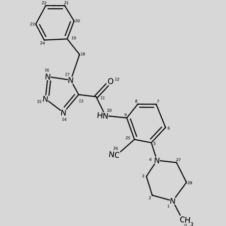 CN1CCN(c2cccc(NC(=O)c3nnnn3Cc3ccccc3)c2C#N)CC1